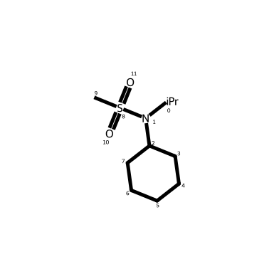 CC(C)N(C1CCCCC1)S(C)(=O)=O